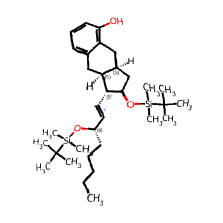 CCCCC[C@@H](/C=C/[C@H]1C(O[Si](C)(C)C(C)(C)C)C[C@@H]2Cc3c(O)cccc3C[C@@H]21)O[Si](C)(C)C(C)(C)C